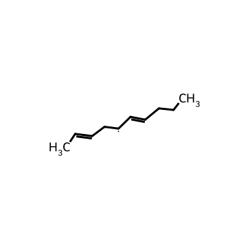 CC=CC[CH]C=CCCC